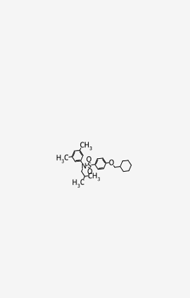 Cc1cc(C)cc(N(CC(C)C)S(=O)(=O)c2ccc(OCC3CCCCC3)cc2)c1